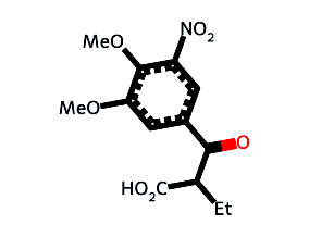 CCC(C(=O)O)C(=O)c1cc(OC)c(OC)c([N+](=O)[O-])c1